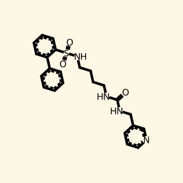 O=C(NCCCCNS(=O)(=O)c1ccccc1-c1ccccc1)NCc1cccnc1